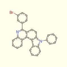 Brc1cccc(-c2nc3ccccc3c3c2ccc2c3c3ccccc3n2-c2ccccc2)c1